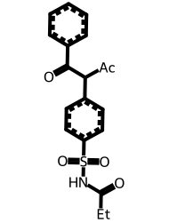 CCC(=O)NS(=O)(=O)c1ccc(C(C(C)=O)C(=O)c2ccccc2)cc1